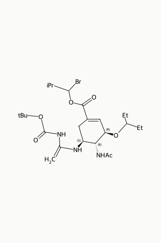 C=C(NC(=O)OC(C)(C)C)N[C@H]1CC(C(=O)OC(Br)C(C)C)=C[C@@H](OC(CC)CC)[C@@H]1NC(C)=O